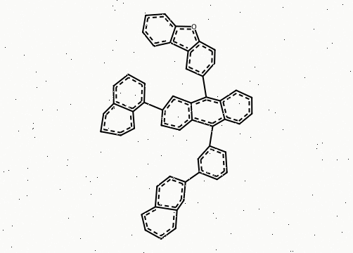 c1cc(-c2ccc3ccccc3c2)cc(-c2c3ccccc3c(-c3ccc4oc5ccccc5c4c3)c3cc(-c4cccc5ccccc45)ccc23)c1